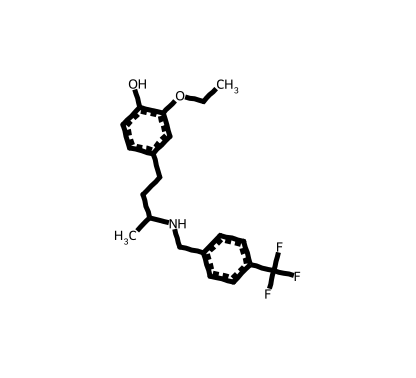 CCOc1cc(CCC(C)NCc2ccc(C(F)(F)F)cc2)ccc1O